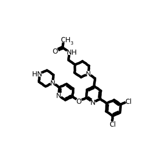 CC(=O)NCC1CCN(Cc2cc(Oc3ccc(N4CCNCC4)nc3)nc(-c3cc(Cl)cc(Cl)c3)c2)CC1